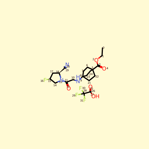 CCOC(=O)C12CCC(NCC(=O)N3C[C@@H](F)C[C@H]3C#N)(CC1)CC2.O=C(O)C(F)(F)F